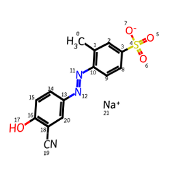 Cc1cc(S(=O)(=O)[O-])ccc1N=Nc1ccc(O)c(C#N)c1.[Na+]